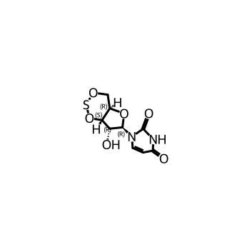 O=c1ccn([C@@H]2O[C@@H]3COSO[C@H]3[C@H]2O)c(=O)[nH]1